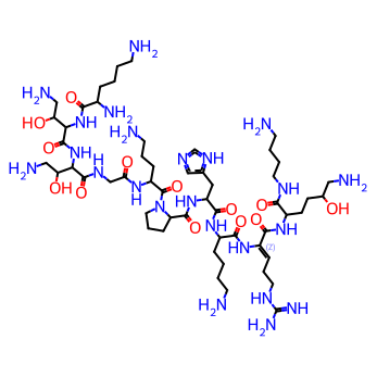 N=C(N)NCC/C=C(\NC(=O)C(CCCCN)NC(=O)C(Cc1cnc[nH]1)NC(=O)C1CCCN1C(=O)C(CCCN)NC(=O)CNC(=O)C(NC(=O)C(NC(=O)C(N)CCCCN)C(O)CN)C(O)CN)C(=O)NC(CCC(O)CN)C(=O)NCCCCN